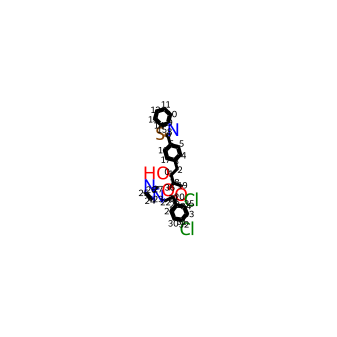 OC(Cc1ccc(-c2nc3ccccc3s2)cc1)C1COC(Cn2ccnc2)(c2ccc(Cl)cc2Cl)O1